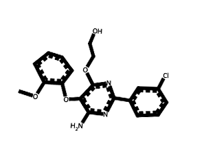 COc1ccccc1Oc1c(N)nc(-c2cccc(Cl)c2)nc1OCCO